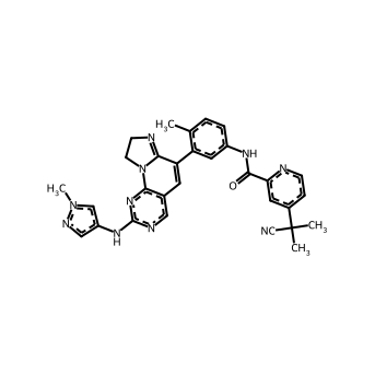 Cc1ccc(NC(=O)c2cc(C(C)(C)C#N)ccn2)cc1C1=Cc2cnc(Nc3cnn(C)c3)nc2N2CCN=C12